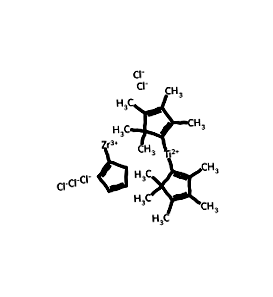 CC1=C(C)C(C)(C)[C]([Ti+2][C]2=C(C)C(C)=C(C)C2(C)C)=C1C.[Cl-].[Cl-].[Cl-].[Cl-].[Cl-].[Zr+3][C]1=CC=CC1